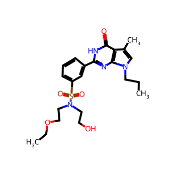 CCCn1cc(C)c2c(=O)[nH]c(-c3cccc(S(=O)(=O)N(CCO)CCOCC)c3)nc21